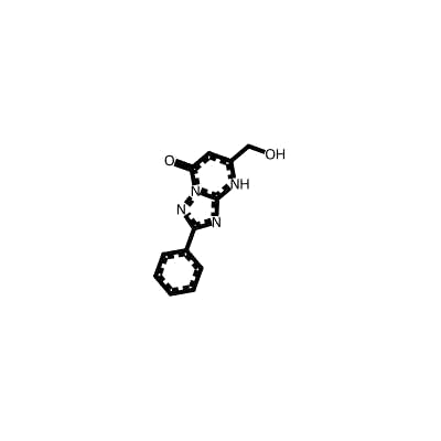 O=c1cc(CO)[nH]c2nc(-c3ccccc3)nn12